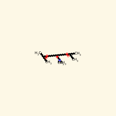 CCCCCC(CCCCC)CC(=O)OCCCCCCCCC(CCCCCCCCOC(=O)CC(CCCCC)CCCCC)OCCCN(CC)CC